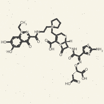 CCn1nc(C(=O)NCC[N+]2(CC3=C(C(=O)O)N4C(=O)[C@@H](NC(=O)/C(=N\O[C@@H](CC(=O)O)C(=O)O)c5csc(N)n5)[C@H]4SC3)CCCC2)c(=O)c2cc(O)c(O)cc21